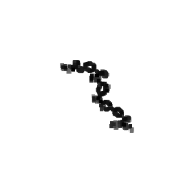 CN(C)C(=O)c1ccc(-c2ccc(Nc3cncc(NC(=O)c4cccc(OC(N)=O)c4)c3)nc2)cc1